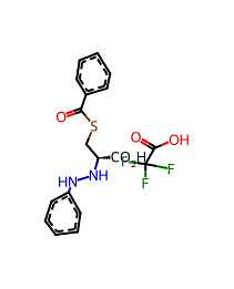 O=C(O)C(F)(F)F.O=C(SC[C@H](NNc1ccccc1)C(=O)O)c1ccccc1